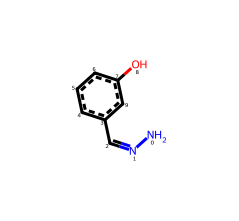 N/N=C\c1cccc(O)c1